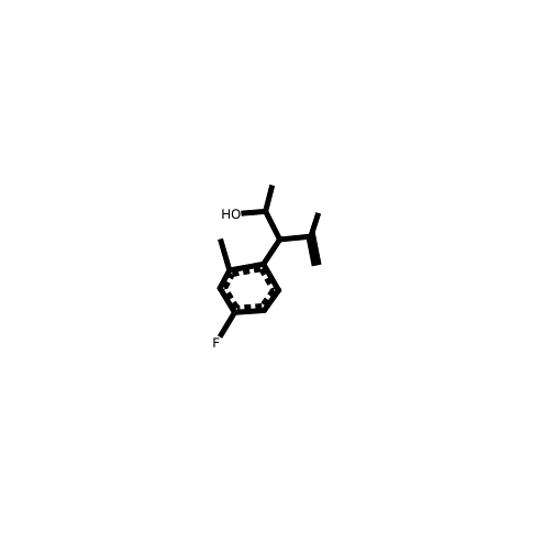 C=C(C)C(c1ccc(F)cc1C)C(C)O